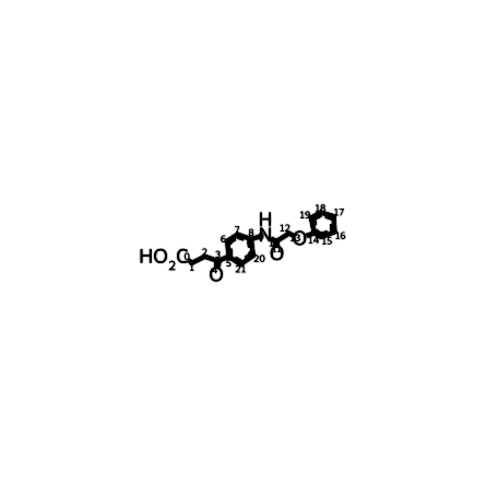 O=C(O)CCC(=O)c1ccc(NC(=O)COc2ccccc2)cc1